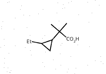 CCC1CC1C(C)(C)C(=O)O